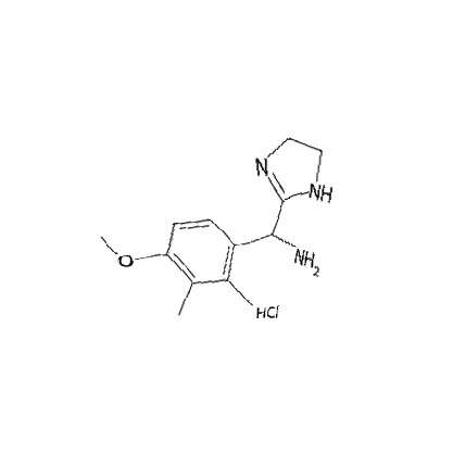 COc1ccc(C(N)C2=NCCN2)c(C)c1C.Cl